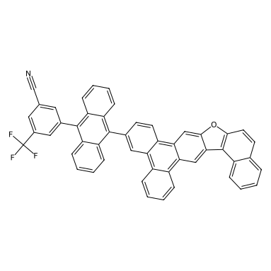 N#Cc1cc(-c2c3ccccc3c(-c3ccc4c(c3)c3ccccc3c3cc5c(cc43)oc3ccc4ccccc4c35)c3ccccc23)cc(C(F)(F)F)c1